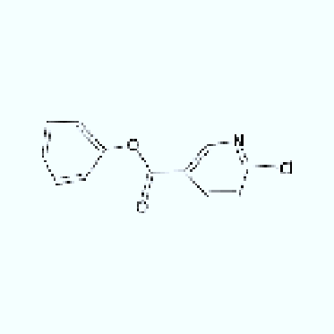 O=C(Oc1ccccc1)c1ccc(Cl)nc1